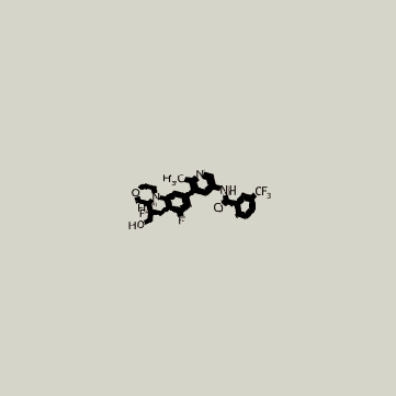 Cc1ncc(NC(=O)c2cccc(C(F)(F)F)c2)cc1-c1cc(F)c2c(c1)N1CCOC[C@@H]1[C@](F)(CO)C2